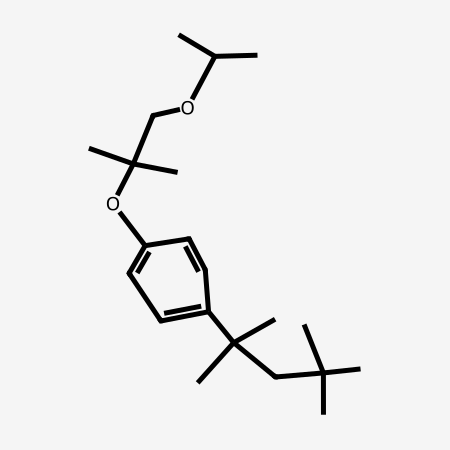 CC(C)OCC(C)(C)Oc1ccc(C(C)(C)CC(C)(C)C)cc1